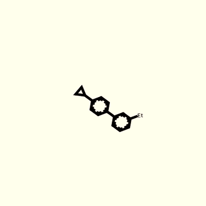 CCc1cccc(-c2c[c]c(C3CC3)cc2)c1